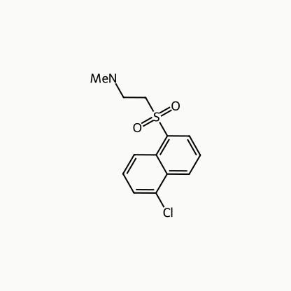 CNCCS(=O)(=O)c1cccc2c(Cl)cccc12